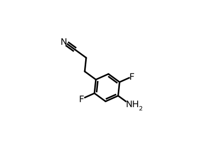 N#CCCc1cc(F)c(N)cc1F